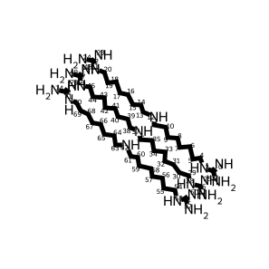 N=C(N)NCCCCCCCCNCCCCCCCCNC(=N)N.N=C(N)NCCCCCCCCNCCCCCCCCNC(=N)N.N=C(N)NCCCCCCCCNCCCCCCCCNC(=N)N